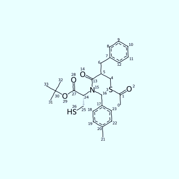 CC(=O)SCC(Cc1ccccc1)C(=O)N(Cc1ccc(C)cc1)[C@H](CS)C(=O)OC(C)(C)C